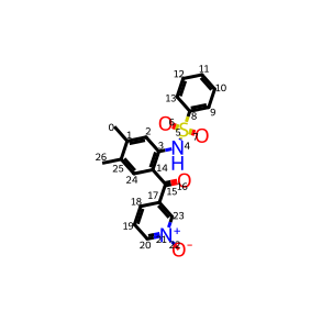 Cc1cc(NS(=O)(=O)c2ccccc2)c(C(=O)c2ccc[n+]([O-])c2)cc1C